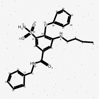 CCCCNc1cc(C(=O)NCc2ccccc2)cc(S(N)(=O)=O)c1Oc1ccccc1